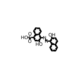 O=S(=O)(O)c1cc(O)c(N=Nc2c(O)ccc3ccccc23)c2ccccc12